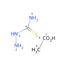 CC(=O)O.NNC(N)=S